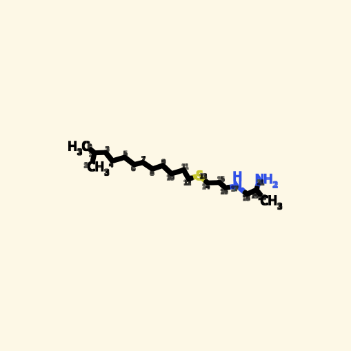 CC(C)CCCCCCCCCCSCCCNCC(C)N